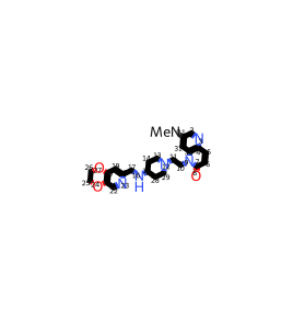 CNc1cnc2ccc(=O)n(CCN3CCC(NCc4cc5c(cn4)OCCO5)CC3)c2c1